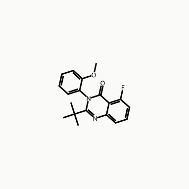 COc1ccccc1-n1c(C(C)(C)C)nc2cccc(F)c2c1=O